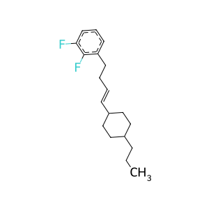 CCCC1CCC(C=CCCc2cccc(F)c2F)CC1